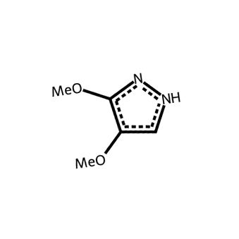 COc1c[nH]nc1OC